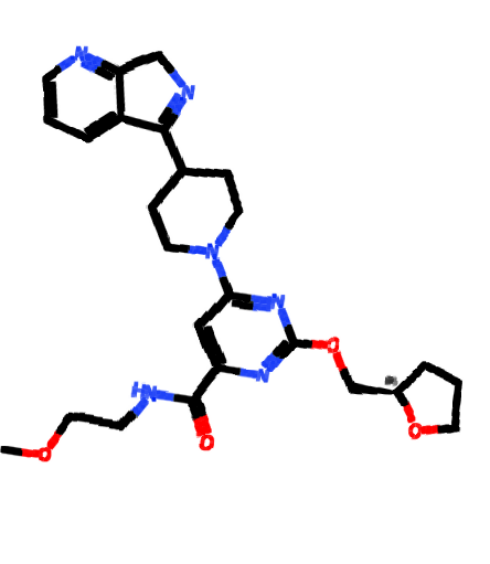 COCCNC(=O)c1cc(N2CCC(C3=NCc4ncccc43)CC2)nc(OC[C@H]2CCCO2)n1